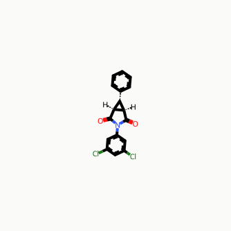 O=C1[C@@H]2[C@H](C(=O)N1c1cc(Cl)cc(Cl)c1)[C@H]2c1ccccc1